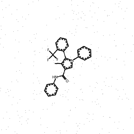 Cc1c(C(=O)Nc2ccccc2)cn(-c2ccccc2)c1-c1ccccc1C(F)(F)F